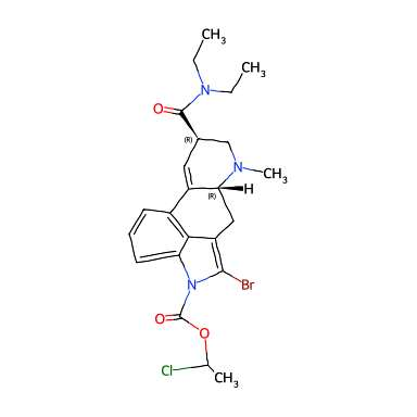 CCN(CC)C(=O)[C@@H]1C=C2c3cccc4c3c(c(Br)n4C(=O)OC(C)Cl)C[C@H]2N(C)C1